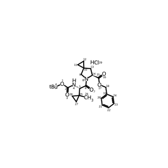 CC(C)(C)OC(=O)N[C@H](C(=O)N1CC2(CC2)C[C@H]1C(=O)OCc1ccccc1)C1(C)CC1.Cl